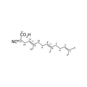 CC(C)=CCC/C(C)=C/CC/C(C)=C/CC(C#N)C(=O)O